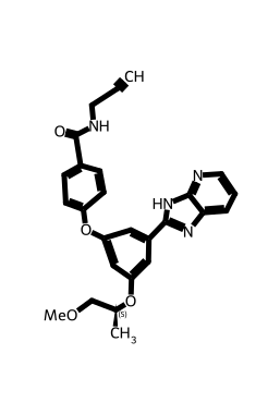 C#CCNC(=O)c1ccc(Oc2cc(O[C@@H](C)COC)cc(-c3nc4cccnc4[nH]3)c2)cc1